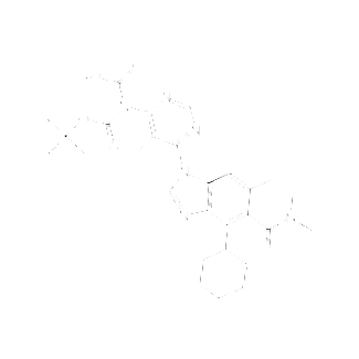 Cc1cc2c(ncn2-c2ncnc(N(C(=O)O)C(=O)OC(C)(C)C)c2C)c(C2CCCCC2)c1C(=O)N(C)C